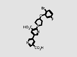 O=C(O)c1cncc(-c2cnc(N3CCC(Oc4cc(F)ccc4Br)CC3)c(C(=O)O)c2)c1